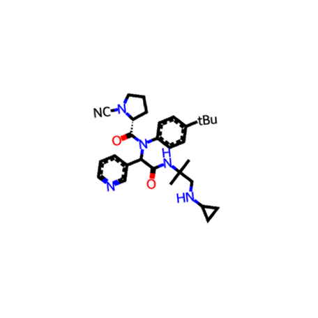 CC(C)(CNC1CC1)NC(=O)C(c1cccnc1)N(C(=O)[C@H]1CCCN1C#N)c1ccc(C(C)(C)C)cc1